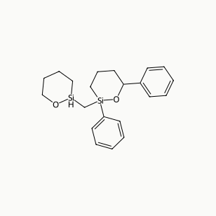 c1ccc(C2CCC[Si](C[SiH]3CCCCO3)(c3ccccc3)O2)cc1